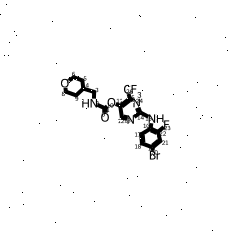 O=C(NCC1CCOCC1)Oc1cnc(Nc2ccc(Br)cc2F)nc1C(F)(F)F